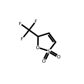 O=S1(=O)C=CC(C(F)(F)F)O1